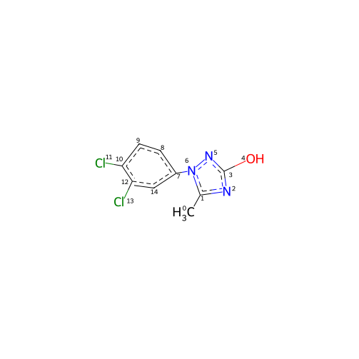 Cc1nc(O)nn1-c1ccc(Cl)c(Cl)c1